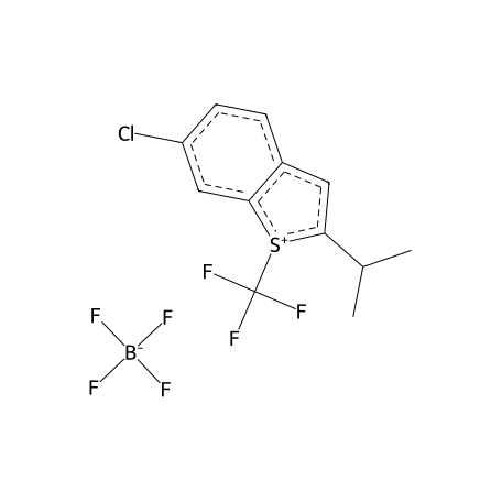 CC(C)c1cc2ccc(Cl)cc2[s+]1C(F)(F)F.F[B-](F)(F)F